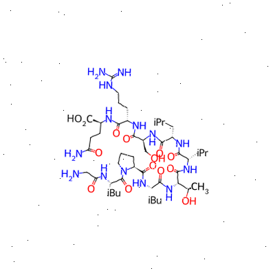 CC[C@H](C)[C@H](NC(=O)[C@@H]1CCCN1C(=O)[C@@H](NC(=O)CN)[C@@H](C)CC)C(=O)N[C@H](C(=O)N[C@H](C(=O)N[C@@H](CC(C)C)C(=O)N[C@@H](CO)C(=O)N[C@@H](CCCNC(=N)N)C(=O)N[C@@H](CCC(N)=O)C(=O)O)C(C)C)[C@@H](C)O